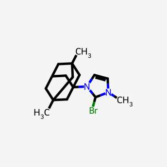 CN1C=CN(C23CC4CC(C)(CC(C)(C4)C2)C3)C1Br